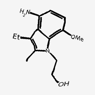 CCc1c(C)n(CCO)c2c(OC)ccc(N)c12